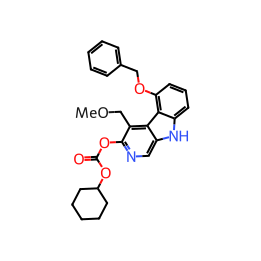 COCc1c(OC(=O)OC2CCCCC2)ncc2[nH]c3cccc(OCc4ccccc4)c3c12